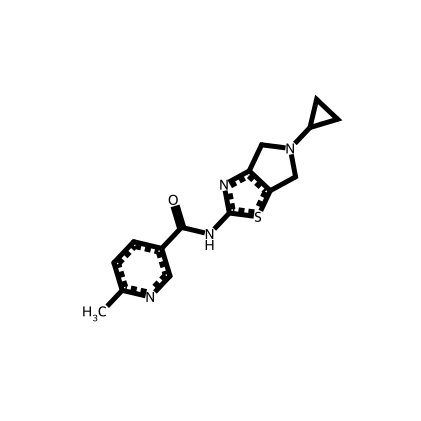 Cc1ccc(C(=O)Nc2nc3c(s2)CN(C2CC2)C3)cn1